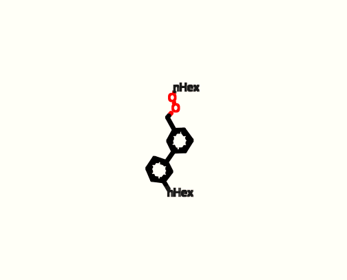 CCCCCCOOCc1cccc(-c2cccc(CCCCCC)c2)c1